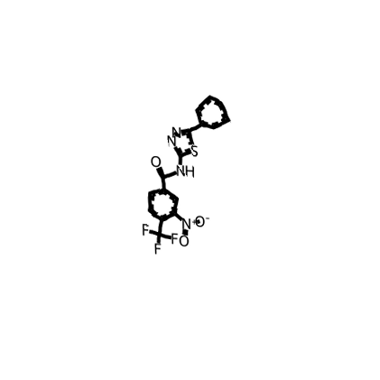 O=C(Nc1nnc(-c2ccccc2)s1)c1ccc(C(F)(F)F)c([N+](=O)[O-])c1